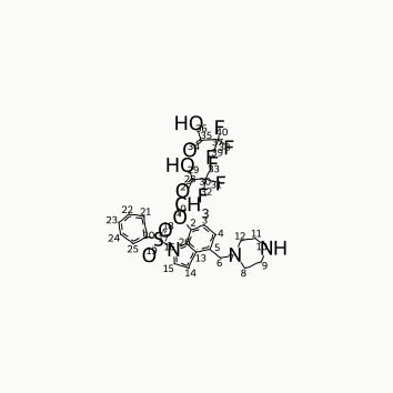 COc1ccc(CN2CCNCC2)c2ccn(S(=O)(=O)c3ccccc3)c12.O=C(O)C(F)(F)F.O=C(O)C(F)(F)F